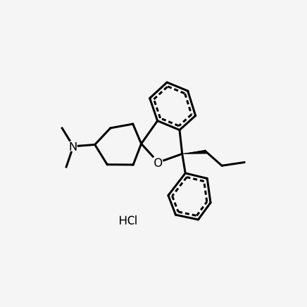 CCC[C@@]1(c2ccccc2)OC2(CCC(N(C)C)CC2)c2ccccc21.Cl